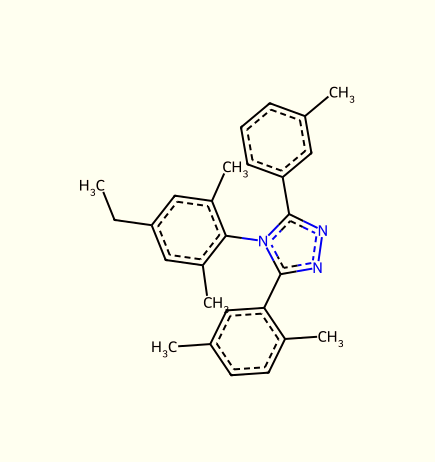 CCc1cc(C)c(-n2c(-c3cccc(C)c3)nnc2-c2cc(C)ccc2C)c(C)c1